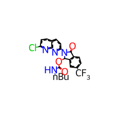 CCCCNC(=O)OC1c2cc(C(F)(F)F)ccc2C(=O)N1c1ccc2ccc(Cl)nc2n1